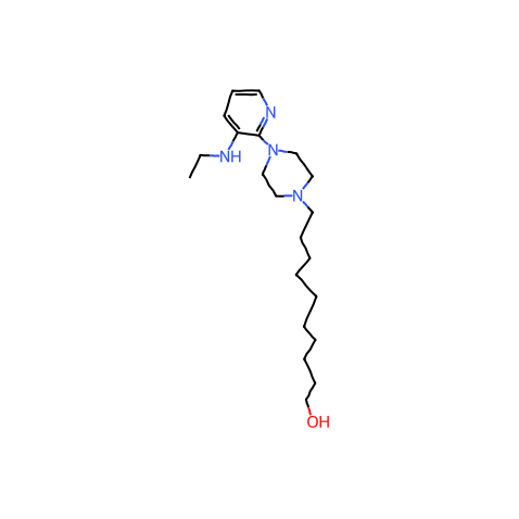 CCNc1cccnc1N1CCN(CCCCCCCCCCO)CC1